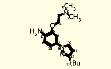 CN(C)CCOc1cc(-n2ccc(C(C)(C)C)n2)ccc1N